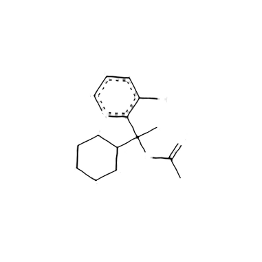 CC(=O)OC(C)(c1ncccc1O)C1CCCCC1